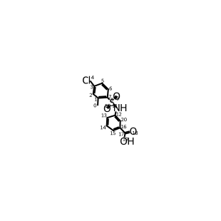 Cc1cc(Cl)ccc1S(=O)(=O)Nc1cccc(C(=O)O)c1